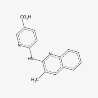 Cc1cc2ccccc2nc1Nc1ccc(C(=O)O)cn1